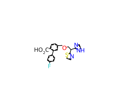 O=C(O)c1ccc(COCC(c2ncc[nH]2)c2nccs2)cc1-c1ccc(F)cc1